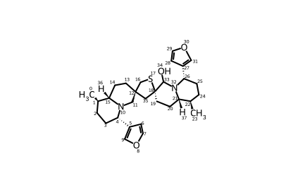 C[C@@H]1CC[C@@H](c2ccoc2)N2C[C@@]3(CC[C@@H]12)CS[C@]1(CC[C@H]2[C@H](C)CC[C@@H](c4ccoc4)N2C1O)C3